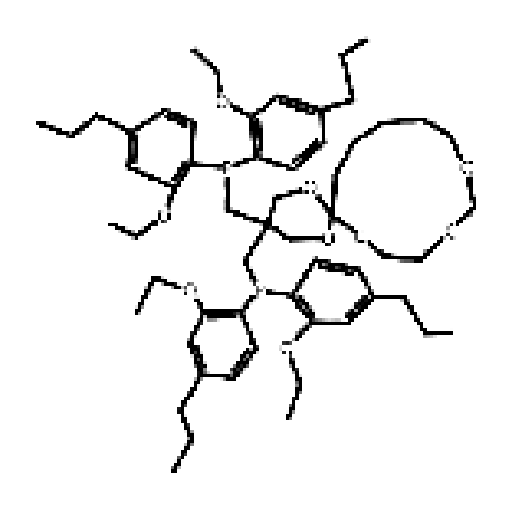 CCCc1ccc(P(CC2(CP(c3ccc(CCC)cc3OCC)c3ccc(CCC)cc3OCC)COC3(CCCCCCCCCCC3)OC2)c2ccc(CCC)cc2OCC)c(OCC)c1